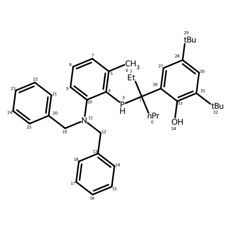 CCCC(CC)(Pc1c(C)cccc1N(Cc1ccccc1)Cc1ccccc1)c1cc(C(C)(C)C)cc(C(C)(C)C)c1O